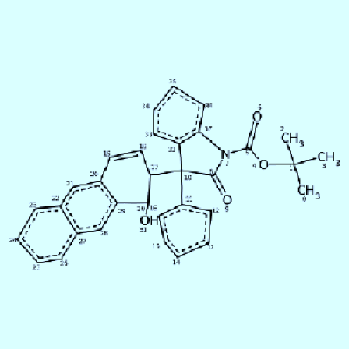 CC(C)(C)OC(=O)N1C(=O)C(c2ccccc2)(C2C=Cc3cc4ccccc4cc3C2O)c2ccccc21